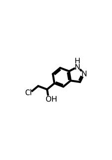 OC(CCl)c1ccc2[nH]ncc2c1